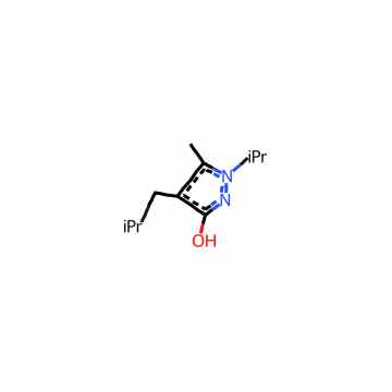 Cc1c(CC(C)C)c(O)nn1C(C)C